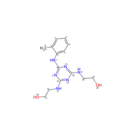 Cc1ccccc1Nc1nc(NCCO)nc(NCCO)n1